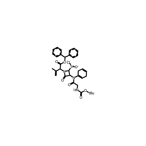 C=C(C)C(C(=O)OC(c1ccccc1)c1ccccc1)N1C(=O)C(N(C(=O)CNC(=O)OC(C)(C)C)C2=CCC=CC2)C1[S+]([O-])Cl